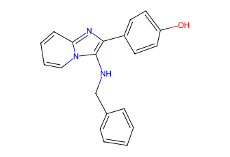 Oc1ccc(-c2nc3ccccn3c2NCc2ccccc2)cc1